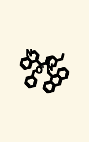 CCC1C[N+]2(Cc3c4ccccc4cc4ccccc34)CCC1CC2[C@@H](OCc1ccccc1)c1ccnc2ccccc12